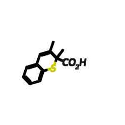 CC1=Cc2ccccc2SC1(C)C(=O)O